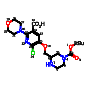 CC(C)(C)OC(=O)N1CCNC(COc2cc(C(=O)O)c(N3CCOCC3)nc2Cl)C1